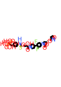 O=C([C@@H](O)COC(=S)Nc1ccc(CC(O)(P(=O)(O)O)P(=O)(O)O)cc1)N1CC=C(c2c(F)cc(N3C[C@H](COc4ccon4)OC3=O)cc2F)CC1